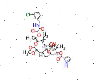 CO[C@H]1C[C@H]2C=CC34CO[C@]2(/C(C)=C/[C@@H](C)[C@@H]([C@@H](C)OC(=O)C(=O)NCc2cccc(Cl)c2)OC1=O)C3[C@H](O)[C@@H](C)[C@@H](OC(=O)c1ccc[nH]1)C4